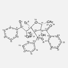 CC[C@]1(C(O)C(=O)c2ccccc2)O[C@H](OC(C)=O)[C@@](O)(C(=O)c2ccccc2)[C@@]1(O)C(=O)c1ccccc1